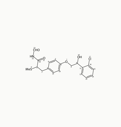 CSC(Cc1ccc(OCC(O)c2ccccc2Cl)cc1)C(=O)NC=O